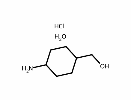 Cl.NC1CCC(CO)CC1.O